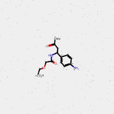 COC(=O)CC(NC(=O)COCC(=O)O)c1ccc(N)cc1